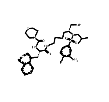 CC(C)CN([C@H](CO)CCCCNC(=O)[C@H](Cc1cccc2ccccc12)NC(=O)N1CCOCC1)S(=O)(=O)c1ccc(F)c(N)c1